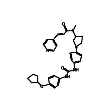 CN(C(=O)/C=C/c1ccncc1)C1CCN(c2ccc(NC(=O)Nc3ccc(OC4CCCC4)cc3)cc2)C1